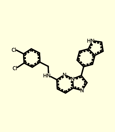 Clc1ccc(CNc2ccc3ncc(-c4ccc5[nH]ccc5c4)n3n2)cc1Cl